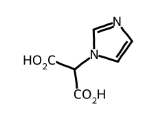 O=C(O)C(C(=O)O)n1ccnc1